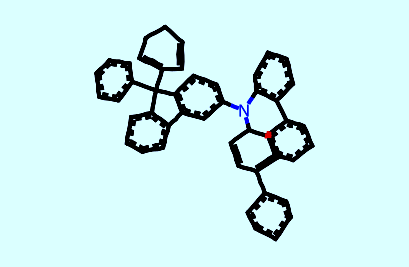 C1=CC(C2(c3ccccc3)c3ccccc3-c3cc(N(c4ccccc4-c4ccccc4)C4C=CC(c5ccccc5)=CC4)ccc32)=CCC1